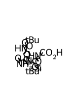 CC(C)(C)OC(=O)Nc1ccc2c(c1)c(C(N)=O)nn2[C@](C)(CO[Si](C)(C)C(C)(C)C)CC(=O)NCC(=O)O